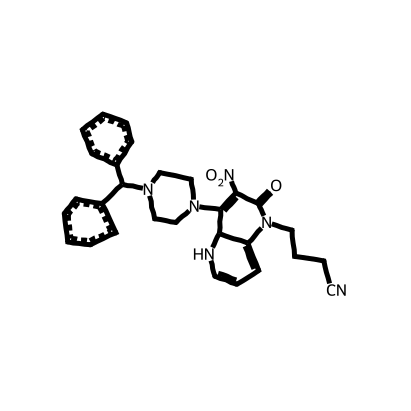 N#CCCCN1C(=O)C([N+](=O)[O-])=C(N2CCN(C(c3ccccc3)c3ccccc3)CC2)C2NC=CC=C21